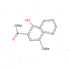 COC(=O)c1cc(OC)c2ccccc2c1O